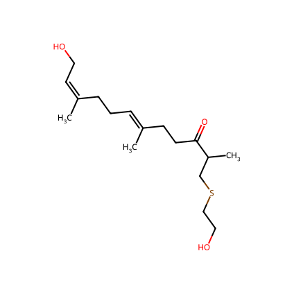 C/C(=C/CO)CC/C=C(\C)CCC(=O)C(C)CSCCO